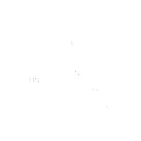 Cc1ccc(CNc2c(Cl)ccc3c2CCNCC3)o1.Cl